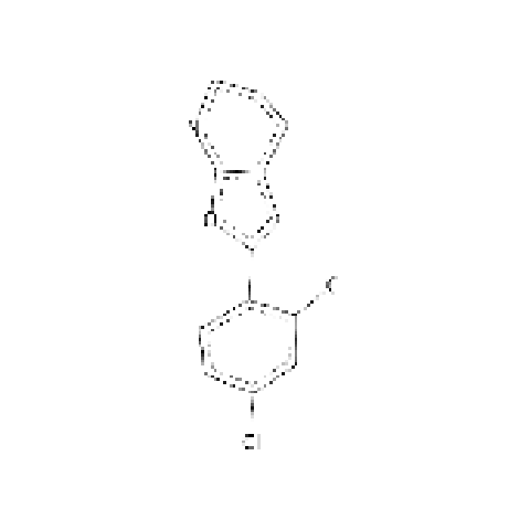 Clc1ccc(-c2cc3cccnc3o2)c(Cl)c1